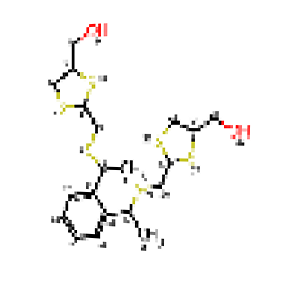 CC(SCC1SCC(CO)S1)c1ccccc1C(C)SCC1SCC(CO)S1